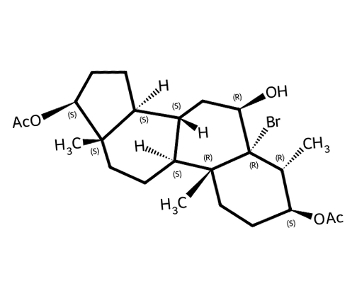 CC(=O)O[C@H]1CC[C@]2(C)[C@H]3CC[C@]4(C)[C@@H](OC(C)=O)CC[C@H]4[C@@H]3C[C@@H](O)[C@@]2(Br)[C@@H]1C